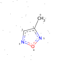 [CH2]c1cnon1